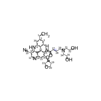 C=Cc1cccc(Nc2c(C#N)cnc3cc(O[C@H]4CCOC4)c(NC(=O)/C=C/CN(CCO)CCO)cc23)c1